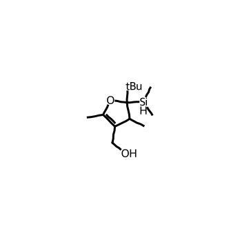 CC1=C(CO)C(C)C([SiH](C)C)(C(C)(C)C)O1